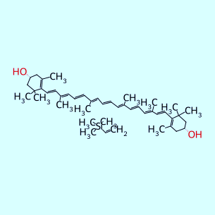 C=C[Si](C)(C)C.CC1=C(/C=C/C(C)=C/C=C/C(C)=C/C=C/C=C(C)/C=C/C=C(C)/C=C/C2=C(C)C[C@@H](O)CC2(C)C)C(C)(C)C[C@H](O)C1